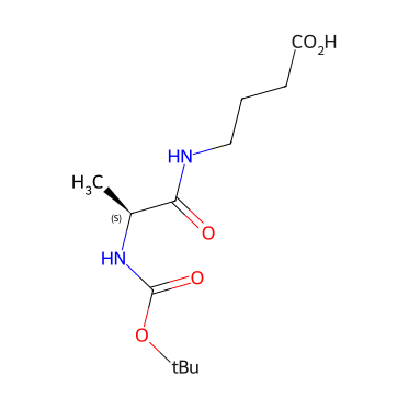 C[C@H](NC(=O)OC(C)(C)C)C(=O)NCCCC(=O)O